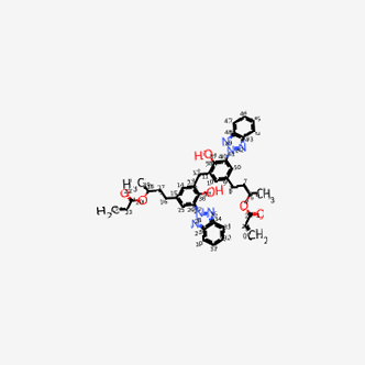 C=CC(=O)OC(C)CCc1cc(Cc2cc(CCC(C)OC(=O)C=C)cc(-n3nc4ccccc4n3)c2O)c(O)c(-n2nc3ccccc3n2)c1